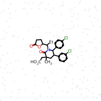 CCC(C1CCC(=O)O1)N1C(=O)C(C)(CC(=O)O)CC(c2cccc(Cl)c2)C1c1ccc(Cl)cc1